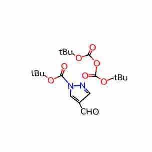 CC(C)(C)OC(=O)OC(=O)OC(C)(C)C.CC(C)(C)OC(=O)n1cc(C=O)cn1